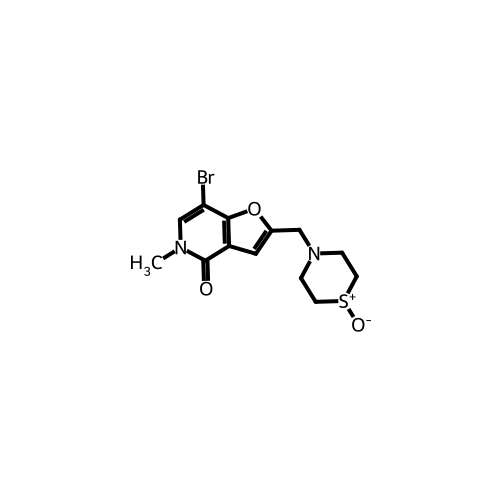 Cn1cc(Br)c2oc(CN3CC[S+]([O-])CC3)cc2c1=O